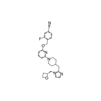 N#Cc1ccc(COc2cccc(N3CCC(Cc4nccn4C[C@@H]4CCO4)CC3)n2)c(F)c1